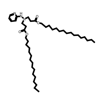 CCCCCCCCCCCCCCCCOC(=O)CCN(CCC(=O)OCCCCCCCCCCCCCCCC)Nc1ccccn1